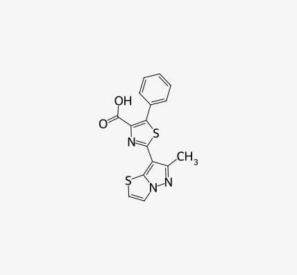 Cc1nn2ccsc2c1-c1nc(C(=O)O)c(-c2ccccc2)s1